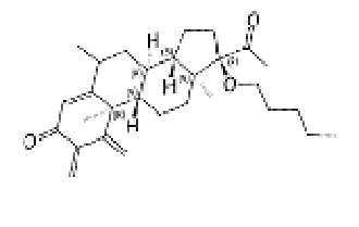 C=C1C(=C)[C@@]2(C)C(=CC1=O)C(C)C[C@@H]1[C@@H]2CC[C@@]2(C)[C@H]1CC[C@]2(OCCCCC)C(C)=O